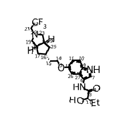 CC[C@@H](O)C(=O)Nc1c[nH]c2ccc(OCC[C@@H]3C[C@@H]4CN(CC(F)(F)F)C[C@@H]4C3)cc12